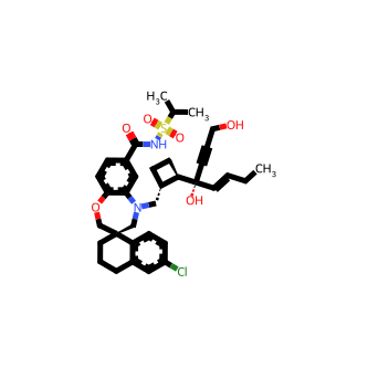 CC/C=C/[C@](O)(C#CCO)[C@@H]1CC[C@H]1CN1C[C@@]2(CCCc3cc(Cl)ccc32)COc2ccc(C(=O)NS(=O)(=O)C(C)C)cc21